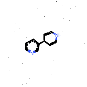 C1=CC(c2cccnc2)C=CN1